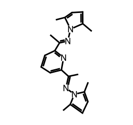 C/C(=N\n1c(C)ccc1C)c1cccc(/C(C)=N/n2c(C)ccc2C)n1